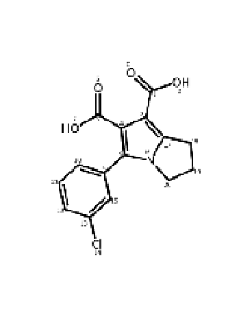 O=C(O)c1c(C(=O)O)c(-c2cccc(Cl)c2)n2c1CCC2